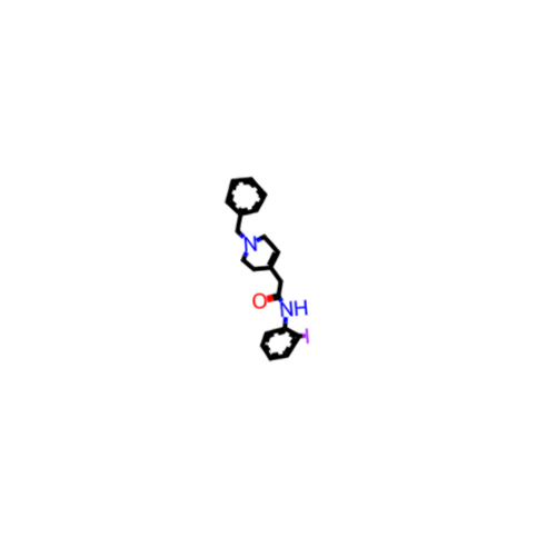 O=C(CC1=CCN(Cc2ccccc2)CC1)Nc1ccccc1I